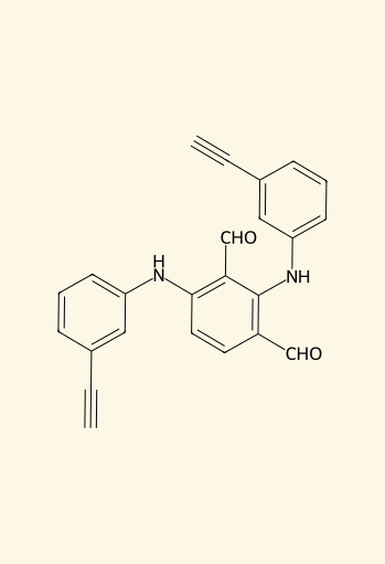 C#Cc1cccc(Nc2ccc(C=O)c(Nc3cccc(C#C)c3)c2C=O)c1